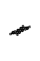 O=C1c2ccc3c4ccc5c6c(ccc(c7ccc(c2c37)C(=O)N1Cc1cccc(Cl)c1)c64)C(=O)N(Cc1cccc(Cl)c1)C5=O